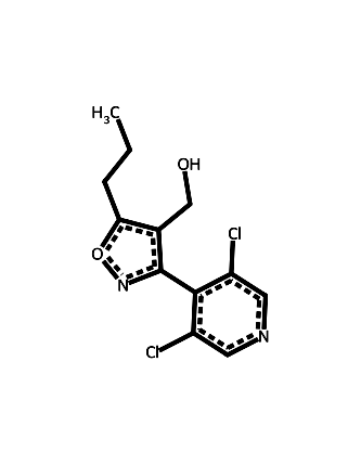 CCCc1onc(-c2c(Cl)cncc2Cl)c1CO